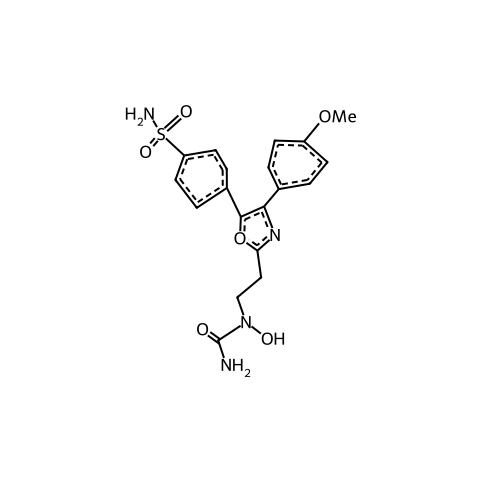 COc1ccc(-c2nc(CCN(O)C(N)=O)oc2-c2ccc(S(N)(=O)=O)cc2)cc1